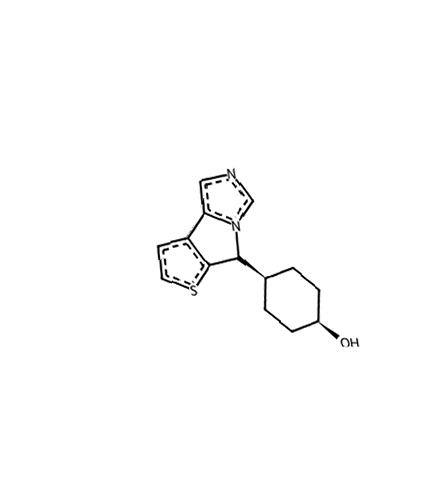 O[C@H]1CC[C@@H](C2c3sccc3-c3cncn32)CC1